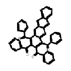 O=C(c1ccccc1)c1c(C(=O)c2ccccc2)c(C(=O)c2ccccc2)c2cc3cc4ccccc4cc3cc2c1C(=O)c1ccccc1